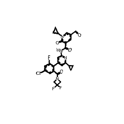 O=Cc1cc(C(=O)Nc2cc(-c3c(F)cc(Cl)cc3C(=O)N3CC(F)(F)C3)cc(C3CC3)n2)c(=O)n(C2CC2)c1